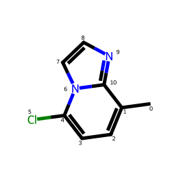 Cc1ccc(Cl)n2ccnc12